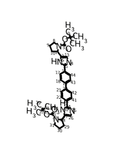 CC(C)(C)OC(=O)N1CCCC1c1cnc(-c2ccc(-c3ccc(-c4ncc(C5CCCN5C(=O)OC(C)(C)C)[nH]4)cc3)cc2)[nH]1